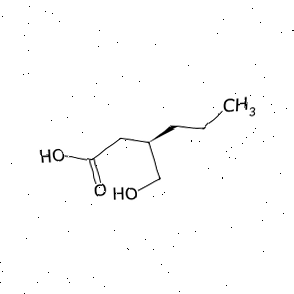 CCC[C@@H](CO)CC(=O)O